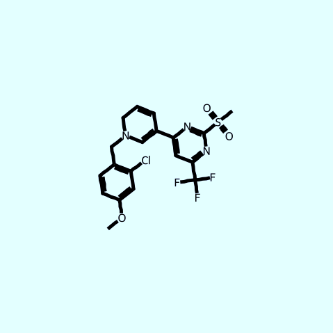 COc1ccc(CN2C=C(c3cc(C(F)(F)F)nc(S(C)(=O)=O)n3)C=CC2)c(Cl)c1